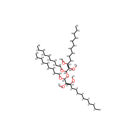 CCCCCCCCCCC(OC)=C(OC)C(OCCCCCCCCC)OC(OCCCCCCCCC)C(OC)=C(CCCCCCCCCC)OC